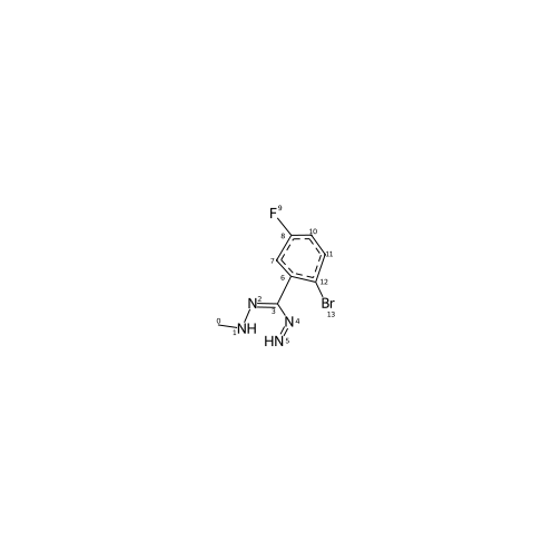 CN/N=C(\N=N)c1cc(F)ccc1Br